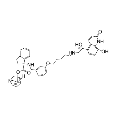 O=C(O[C@H]1CN2CCC1CC2)C1(NCc2cccc(OCCCCCNC[C@H](O)c3ccc(O)c4[nH]c(=O)ccc34)c2)CCc2ccccc21